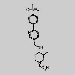 CC1CN(C(=O)O)CCC1NCc1ccc(-c2ccc(S(C)(=O)=O)cc2)nc1